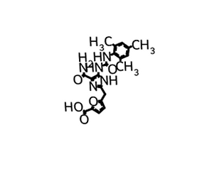 Cc1cc(C)c(NC(=O)Nc2[nH]c(Cc3ccc(C(=O)O)o3)nc2C(N)=O)c(C)c1